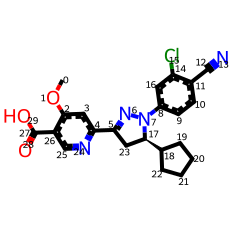 COc1cc(C2=NN(c3ccc(C#N)c(Cl)c3)[C@@H](C3CCCC3)C2)ncc1C(=O)O